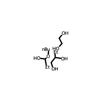 CCC(O)CO.CCCCOC(O)CC.OCCO